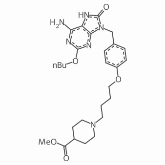 CCCCOc1nc(N)c2[nH]c(=O)n(Cc3ccc(OCCCCN4CCC(C(=O)OC)CC4)cc3)c2n1